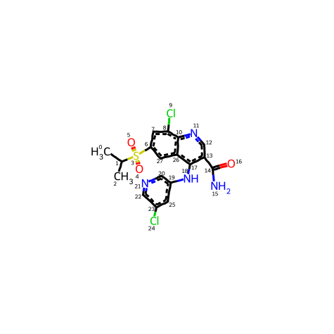 CC(C)S(=O)(=O)c1cc(Cl)c2ncc(C(N)=O)c(Nc3cncc(Cl)c3)c2c1